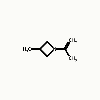 C=C(C)N1CC(C)C1